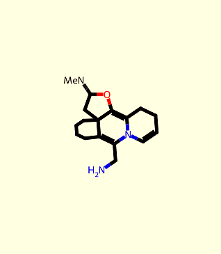 CNC1CC23CCCCC2=C(CN)N2C=CCCC2=C3O1